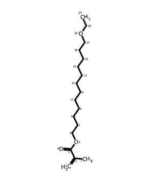 C=C(C)C(=O)OCCCCCCCCCCCCOCC